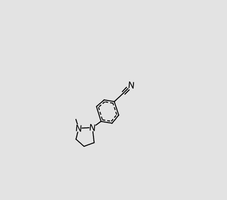 CN1CCCN1c1ccc(C#N)cc1